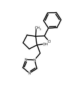 CC1(C(Cl)c2ccccc2)CCCC1(O)Cn1cncn1